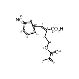 C=C(C)C(=O)OCCC(=Cc1cccc(C#N)c1)C(=O)O